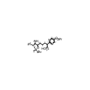 CC(C)C[C@@H](N)C(CCCC(CS(=O)(=O)O)c1ncc(OC(C)C)cn1)O[Si](C)(C)C(C)(C)C